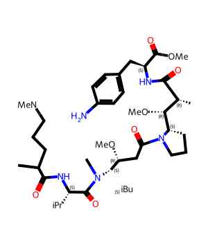 CC[C@H](C)[C@@H]([C@@H](CC(=O)N1CCC[C@H]1[C@H](OC)[C@@H](C)C(=O)N[C@@H](Cc1ccc(N)cc1)C(=O)OC)OC)N(C)C(=O)[C@@H](NC(=O)C(C)CCCNC)C(C)C